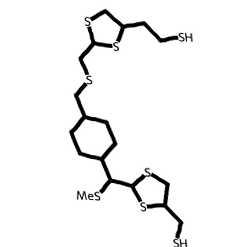 CSC(C1CCC(CSCC2SCC(CCS)S2)CC1)C1SCC(CS)S1